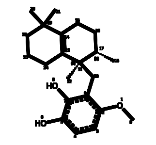 COc1ccc(O)c(O)c1C[C@@]1(C)C2=C(CC[C@@H]1C)C(C)(C)CCC2